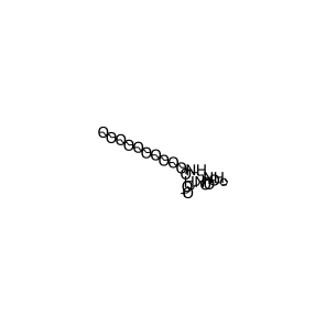 COCCOCCOCCOCCOCCOCCOCCOCCOCCOCC(=O)NCCCCC(NC(=O)OCc1ccccc1)C(=O)NCCCC(=O)OC(C)(C)C